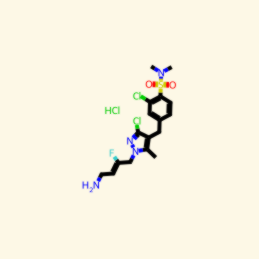 Cc1c(Cc2ccc(S(=O)(=O)N(C)C)c(Cl)c2)c(Cl)nn1CC(F)=CCN.Cl